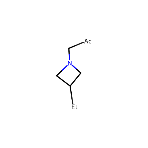 CCC1CN(CC(C)=O)C1